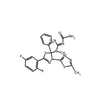 Cc1nnc(N2N=C(c3cc(F)ccc3F)SC2(c2ccccc2)N(C)/C(N)=N/C(N)=O)s1